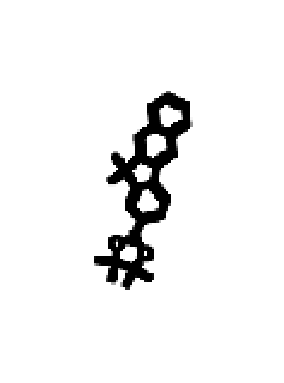 CC1(C)c2cc(B3OC(C)(C)C(C)(C)O3)ccc2-c2cc3ccccc3cc21